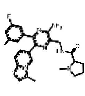 Cc1cnc2ccc(-c3nc(CNC(=O)C4CCCN4C)c(N)nc3-c3cc(F)cc(F)c3)cn12